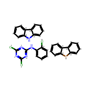 Clc1nc(Cl)nc(Nc2ccccc2Cl)n1.c1ccc2c(c1)[nH]c1ccccc12.c1ccc2c(c1)sc1ccccc12